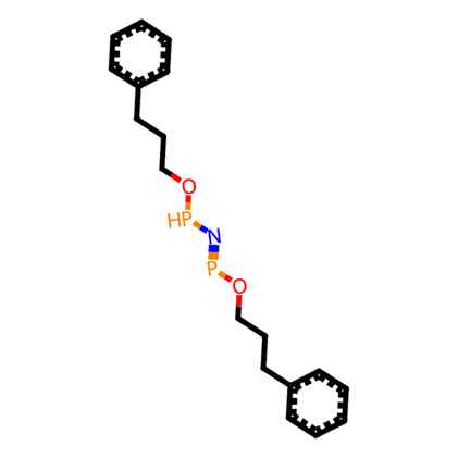 c1ccc(CCCOP=NPOCCCc2ccccc2)cc1